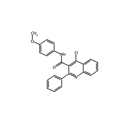 COc1ccc(NC(=O)c2c(-c3ccccc3)nc3ccccc3c2Cl)cc1